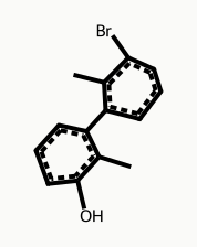 Cc1c(O)cccc1-c1cccc(Br)c1C